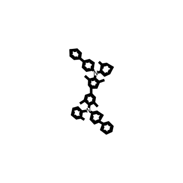 Cc1ccccc1N(c1ccc(-c2ccccc2)cc1)c1c(C)cc(-c2cc(C)c(N(c3ccc(-c4ccccc4)cc3)c3ccccc3C)c(C)c2)cc1C